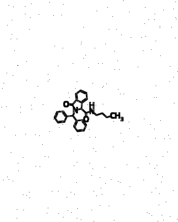 CCCCNC(=O)C1c2ccccc2C(=O)N1C(c1ccccc1)c1ccccc1